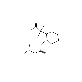 [2H]C(=O)C(C)(C)C1CCCCC1NC(=O)[C@H](C)N(C)C